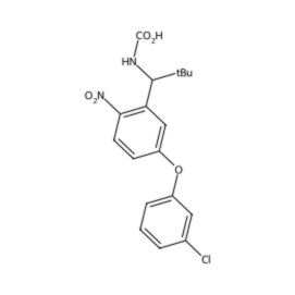 CC(C)(C)C(NC(=O)O)c1cc(Oc2cccc(Cl)c2)ccc1[N+](=O)[O-]